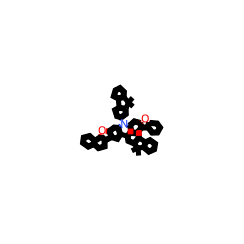 CC1(C)c2ccccc2-c2ccc(-c3cc4c(cc3N(c3ccc5c(c3)C(C)(C)c3ccccc3-5)c3ccc5c(c3)oc3ccccc35)oc3c5ccccc5ccc43)cc21